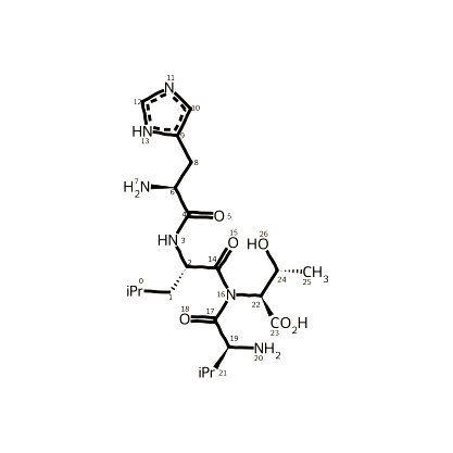 CC(C)C[C@H](NC(=O)[C@@H](N)Cc1cnc[nH]1)C(=O)N(C(=O)[C@@H](N)C(C)C)[C@H](C(=O)O)[C@@H](C)O